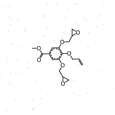 C=CCOc1c(OCC2CO2)cc(C(=O)OC)cc1OCC1CO1